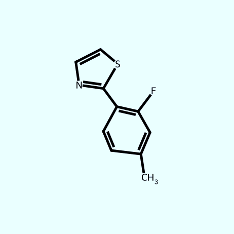 Cc1ccc(-c2nccs2)c(F)c1